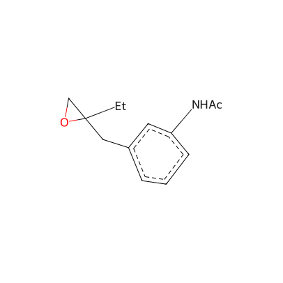 CCC1(Cc2cccc(NC(C)=O)c2)CO1